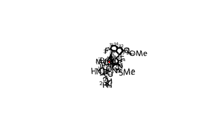 [2H]C([2H])([2H])OCC12CCC(CNC1)N2C(=O)Oc1nc(SC)nc2c(F)c(-c3cc(OCOC)cc4ccc(F)c(C#C[Si](C(C)C)(C(C)C)C(C)C)c34)nc(OC)c12